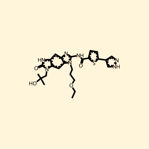 CCOCCCn1c(NC(=O)c2ccc(-c3cn[nH]c3)s2)nc2cc3[nH]c(=O)n(CC(C)(C)O)c3cc21